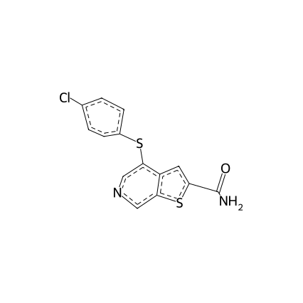 NC(=O)c1cc2c(Sc3ccc(Cl)cc3)cncc2s1